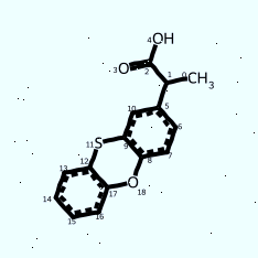 CC(C(=O)O)c1ccc2c(c1)Sc1ccccc1O2